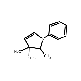 CC1N(c2ccccc2)C=CC1(C)C=O